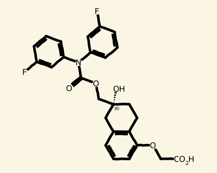 O=C(O)COc1cccc2c1CC[C@](O)(COC(=O)N(c1cccc(F)c1)c1cccc(F)c1)C2